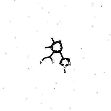 Cc1ccc(-c2cnn(C)c2)c(C(F)CF)c1C